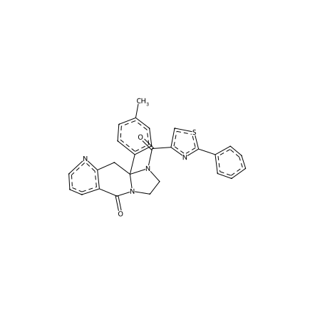 Cc1ccc(C23Cc4ncccc4C(=O)N2CCN3C(=O)c2csc(-c3ccccc3)n2)cc1